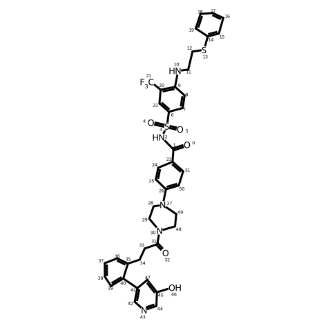 O=C(NS(=O)(=O)c1ccc(NCCSc2ccccc2)c(C(F)(F)F)c1)c1ccc(N2CCN(C(=O)CCc3ccccc3-c3cncc(O)c3)CC2)cc1